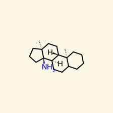 C[C@@]12CCC[C@@]1(N)[C@@H]1CCC3CCCC[C@]3(C)[C@H]1CC2